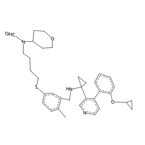 Cc1ccc(SCCCCN(C=O)C2CCOCC2)cc1CNC1(c2cnccc2-c2ccccc2OC2CC2)CC1